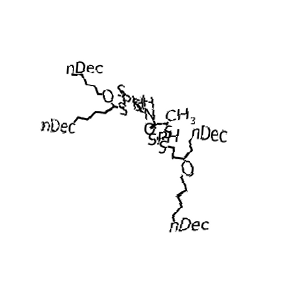 CCCCCCCCCCCCCCCOC(CCCCCCCCCCCC)CCS[PH](=S)SC(C)C(=O)NCS[PH](=S)SC(CCCCCCCCCCCCCC)OCCCCCCCCCCCCCCC